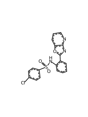 O=S(=O)(Nc1ccccc1-c1nc2ncccc2o1)c1ccc(Cl)cc1